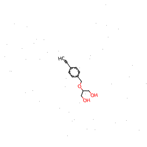 C#Cc1ccc(COC(CO)CO)cc1